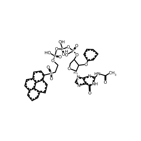 CC(=O)Nc1nc2c(ncn2[C@@H]2OCC(OP(=O)(O)OP(=O)(O)OP(=O)(O)OCCS(=O)(=O)c3ccc4ccc5cccc6ccc3c4c56)C2Oc2ccccc2)c(=O)[nH]1